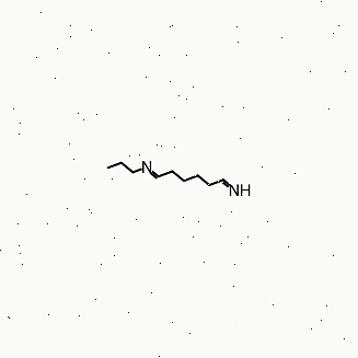 CCCN=CCCCCC=N